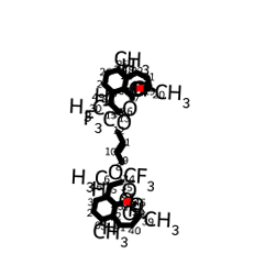 C[C@@H]1CC[C@H]2[C@@H](C)[C@](OC/C=C/CO[C@@]3(C(F)(F)F)O[C@@H]4O[C@]5(C)CC[C@H]6[C@H](C)CC[C@@H]([C@H]3C)[C@@]46OO5)(C(F)(F)F)O[C@@H]3O[C@]4(C)CC[C@@H]1[C@]32OO4